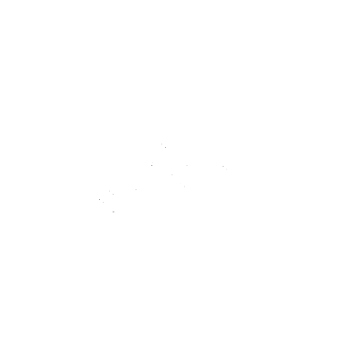 CCn1c([C@H]2CCCN(C(=O)C3CCC3)C2)nc2c(N)nc3cc(-c4cc[nH]n4)ccc3c21